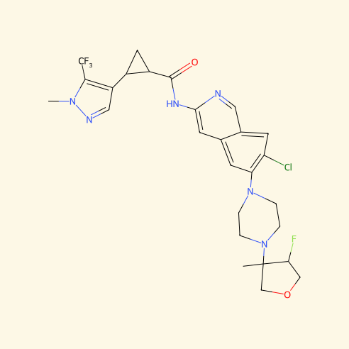 Cn1ncc(C2CC2C(=O)Nc2cc3cc(N4CCN(C5(C)COCC5F)CC4)c(Cl)cc3cn2)c1C(F)(F)F